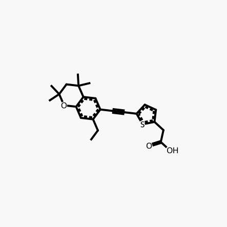 CCc1cc2c(cc1C#Cc1ccc(CC(=O)O)s1)C(C)(C)CC(C)(C)O2